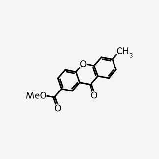 COC(=O)c1ccc2oc3cc(C)ccc3c(=O)c2c1